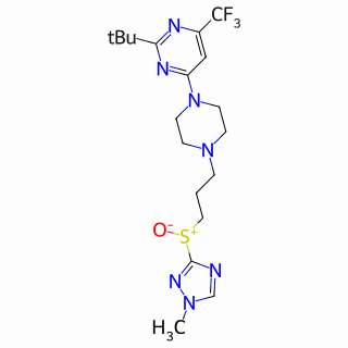 Cn1cnc([S+]([O-])CCCN2CCN(c3cc(C(F)(F)F)nc(C(C)(C)C)n3)CC2)n1